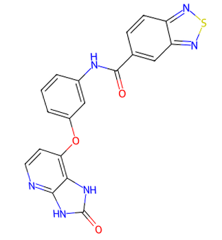 O=C(Nc1cccc(Oc2ccnc3[nH]c(=O)[nH]c23)c1)c1ccc2nsnc2c1